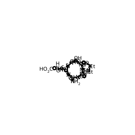 CCN(CC)CCN(CC)CCOc1ccc(C[C@@H]2NC(=O)c3csc(n3)[C@H]([C@H](O)c3ccccc3)NC(=O)c3nc(sc3C)[C@H](CC(N)=O)NC(=O)c3csc(n3)-c3ccc(-c4nc(C(=O)N[C@H]5CC[C@H](C(=O)O)CC5)cs4)nc3-c3csc(n3)-c3csc(n3)[C@@H]3[C@@H](C)[C@@H](O)CN3C2=O)cc1